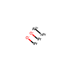 CC(C)[O-].CC(C)[O-].CC[CH2][Al+2]